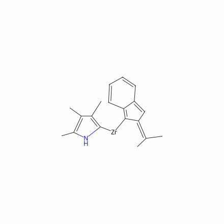 CC(C)=C1C=c2ccccc2=[C]1[Zr][c]1[nH]c(C)c(C)c1C